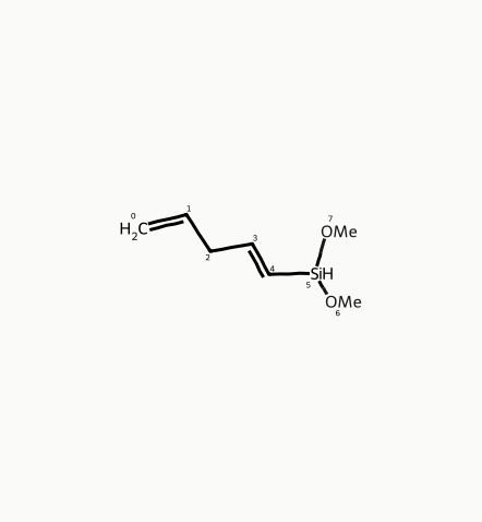 C=CCC=C[SiH](OC)OC